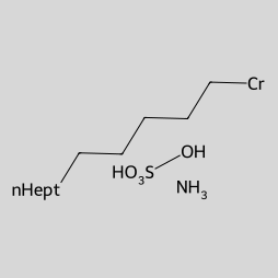 CCCCCCCCCCC[CH2][Cr].N.O=S(=O)(O)O